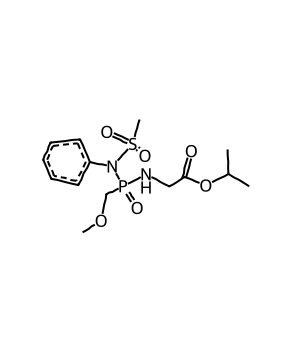 COCP(=O)(NCC(=O)OC(C)C)N(c1ccccc1)S(C)(=O)=O